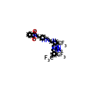 Cn1nnc(N(Cc2cc(C(F)(F)F)cc(C(F)(F)F)c2)Cc2cc(C(F)(F)F)cnc2CCNC[C@H]2CC[C@H](CCN3C(=O)c4ccccc4C3=O)CC2)n1